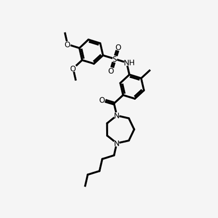 CCCCCN1CCCN(C(=O)c2ccc(C)c(NS(=O)(=O)c3ccc(OC)c(OC)c3)c2)CC1